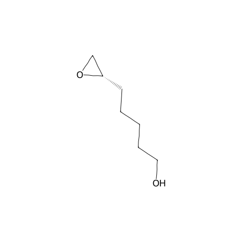 OCCCCC[C@H]1CO1